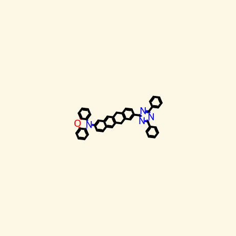 c1ccc(-c2nc(-c3ccccc3)nc(-c3ccc4c(c3)Cc3cc5ccc(N6c7ccccc7Oc7ccccc76)cc5cc3C4)n2)cc1